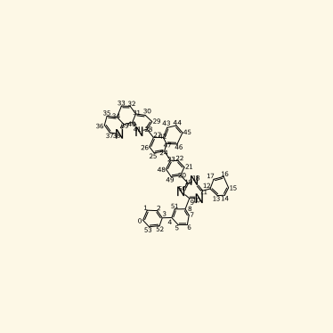 c1ccc(-c2cccc(-c3nc(-c4ccccc4)nc(-c4ccc(-c5ccc(-c6ccc7ccc8cccnc8c7n6)c6ccccc56)cc4)n3)c2)cc1